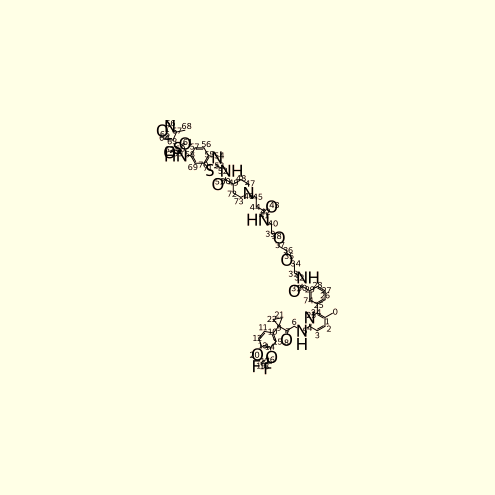 Cc1ccc(NCC(=O)C2(c3ccc4c(c3)OC(F)(F)O4)CC2)nc1-c1cccc(C(=O)NCCOCCOCCNC(=O)CCN2CCC(C(=O)Nc3nc4ccc(NS(=O)(=O)c5conc5C)cc4s3)CC2)c1